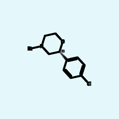 CCN1CCO[C@H](c2ccc(Cl)cc2)C1